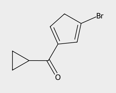 O=C(C1=CCC(Br)=C1)C1CC1